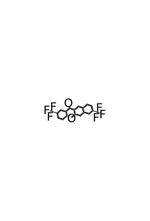 O=c1c2cc(C(F)(F)F)ccc2oc2cc3cc(C(F)(F)F)ccc3cc12